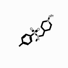 CCCN1CCC(C[SH](C)S(=O)(=O)c2ccc(C)cc2)CC1